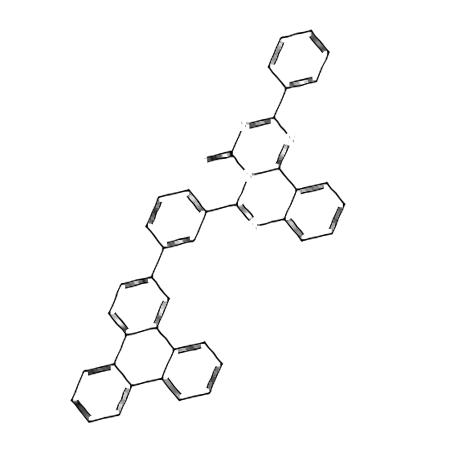 O=c1nc(-c2ccccc2)nc2c3ccccc3nc(-c3cccc(-c4ccc5c6ccccc6c6ccccc6c5c4)c3)n12